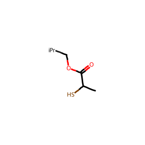 CC(C)COC(=O)C(C)S